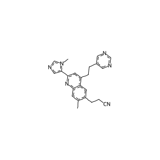 Cc1cc2nc(-c3cncn3C)cc(CCc3cncnc3)c2cc1CCC#N